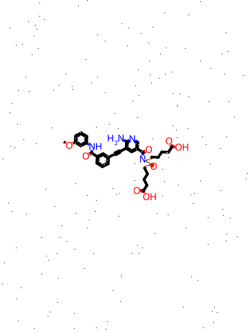 COc1cccc(NC(=O)c2cccc(C#Cc3cc(C(=O)N=S(=O)(CCCCC(=O)O)CCCCC(=O)O)cnc3N)c2)c1